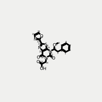 COC(Cc1ccccc1)n1c(=O)n(CC(=O)O)c(=O)c2nc(-c3ncco3)sc21